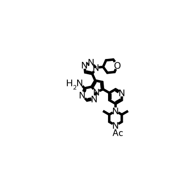 CC(=O)N1CC(C)N(c2cncc(-c3cc(-c4cnnn4C4CCOCC4)c4c(N)ncnn34)c2)C(C)C1